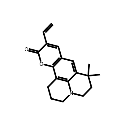 C=Cc1cc2cc3c4c(c2oc1=O)CCCN4CCC3(C)C